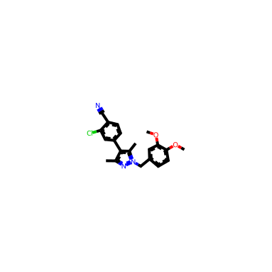 COc1ccc(Cn2nc(C)c(-c3ccc(C#N)c(Cl)c3)c2C)cc1OC